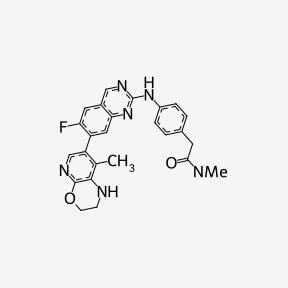 CNC(=O)Cc1ccc(Nc2ncc3cc(F)c(-c4cnc5c(c4C)NCCO5)cc3n2)cc1